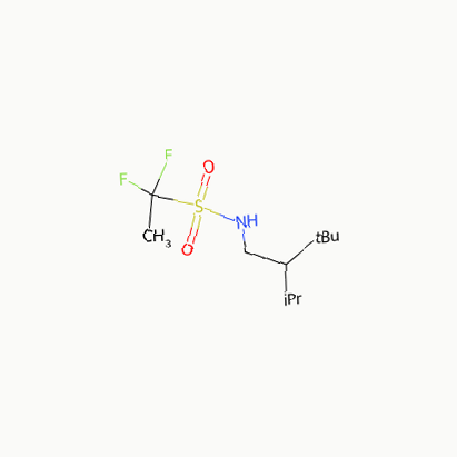 CC(C)C(CNS(=O)(=O)C(C)(F)F)C(C)(C)C